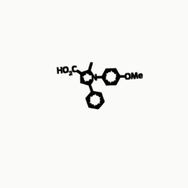 COc1ccc(-n2c(-c3ccccc3)cc(C(=O)O)c2C)cc1